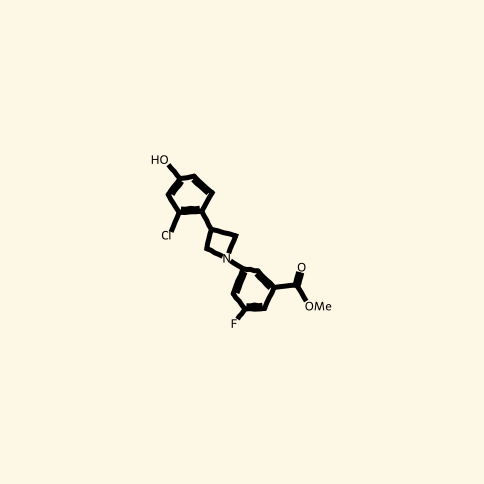 COC(=O)c1cc(F)cc(N2CC(c3ccc(O)cc3Cl)C2)c1